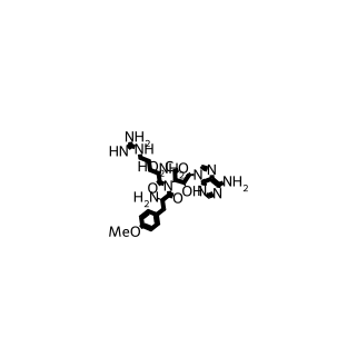 COc1ccc(C[C@H](N)C(=O)N(C(=O)[C@@H](N)CCCNC(=N)N)[C@H]2[C@@H](O)[C@H](n3cnc4c(N)ncnc43)O[C@@H]2C(=O)O)cc1